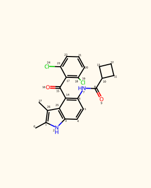 Cc1[nH]c2ccc(NC(=O)C3CCC3)c(C(=O)c3c(Cl)cccc3Cl)c2c1C